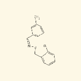 Cc1cccc(/[C]=N\OCc2ccccc2Cl)c1